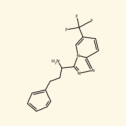 NC(CCc1ccccc1)c1nnc2ccc(C(F)(F)F)cn12